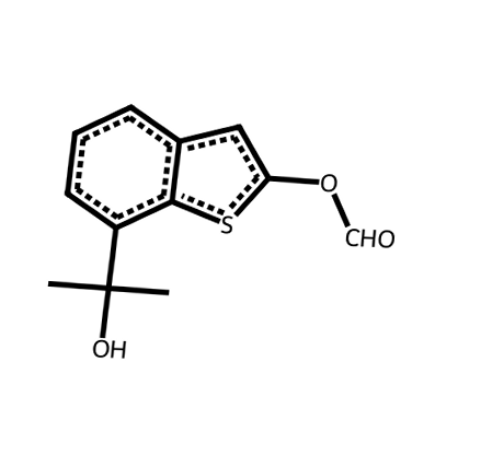 CC(C)(O)c1cccc2cc(OC=O)sc12